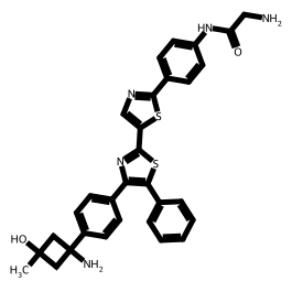 CC1(O)CC(N)(c2ccc(-c3nc(-c4cnc(-c5ccc(NC(=O)CN)cc5)s4)sc3-c3ccccc3)cc2)C1